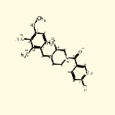 COc1ccc(CN2CCN(C(=O)c3ccc(Cl)nc3)CC2C)c(C)c1C